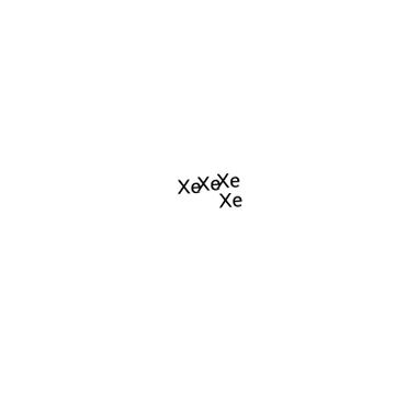 [Xe].[Xe].[Xe].[Xe]